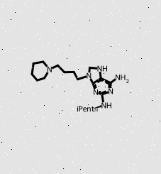 CCC[C@H](C)Nc1nc(N)c2c(n1)N(CCCCN1CCCCC1)CN2